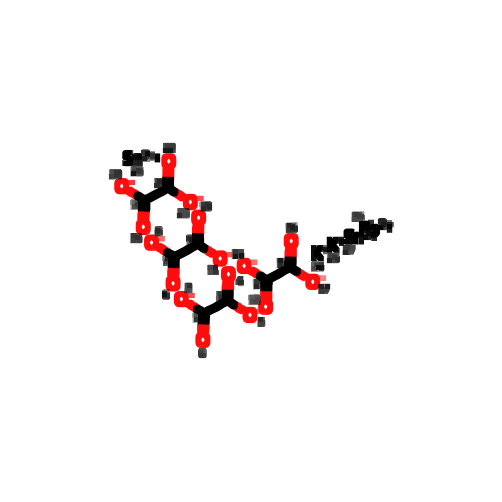 O=C([O-])C(=O)[O-].O=C([O-])C(=O)[O-].O=C([O-])C(=O)[O-].O=C([O-])C(=O)[O-].[K+].[K+].[Pb+2].[Sn+2].[Sn+2]